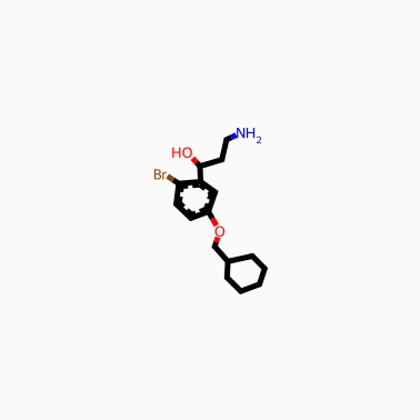 NCCC(O)c1cc(OCC2CCCCC2)ccc1Br